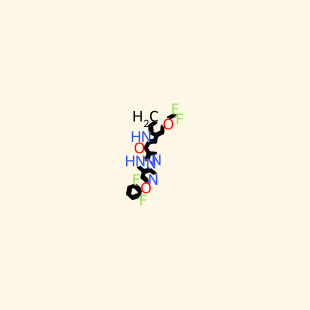 C=C/C=c1/[nH]c(C(=O)c2cnn3c2NCc2cc(Oc4c(F)cccc4F)ncc2-3)c/c1=C/COCC(F)F